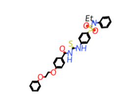 CCN(c1ccccc1)S(=O)(=O)c1ccc(NC(=S)NC(=O)c2ccc(OCCOc3ccccc3)cc2)cc1